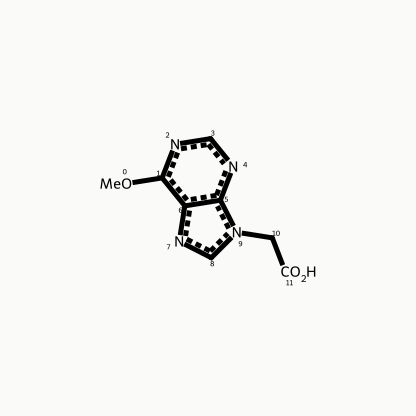 COc1ncnc2c1ncn2CC(=O)O